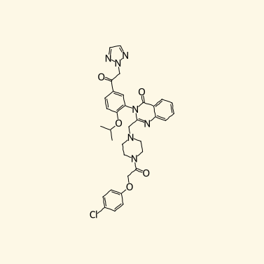 CC(C)Oc1ccc(C(=O)Cn2nccn2)cc1-n1c(CN2CCN(C(=O)COc3ccc(Cl)cc3)CC2)nc2ccccc2c1=O